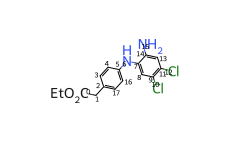 CCOC(=O)Cc1ccc(Nc2cc(Cl)c(Cl)cc2N)cc1